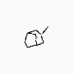 CN1CC2CCC(C1)OC2